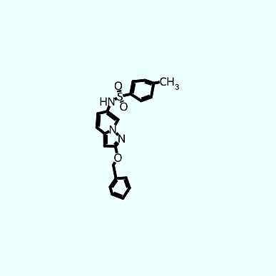 Cc1ccc(S(=O)(=O)Nc2ccc3cc(OCc4ccccc4)nn3c2)cc1